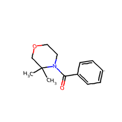 CC1(C)COCCN1C(=O)c1cc[c]cc1